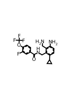 NCc1c(N)ccc(C2CC2)c1CNC(=O)c1ccc(OC(F)(F)F)c(F)c1